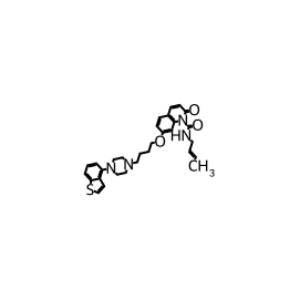 C/C=C/CNC(=O)n1c(=O)ccc2ccc(OCCCCN3CCN(c4cccc5sccc45)CC3)cc21